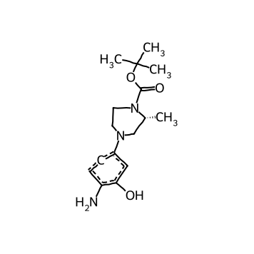 C[C@@H]1CN(c2ccc(N)c(O)c2)CCN1C(=O)OC(C)(C)C